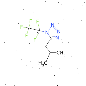 CC(C)Cc1nnnn1C(F)(F)C(F)(F)F